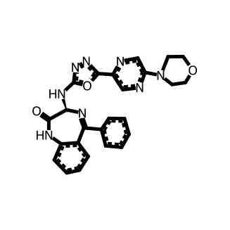 O=C1Nc2ccccc2C(c2ccccc2)=N[C@@H]1Nc1nnc(-c2cnc(N3CCOCC3)cn2)o1